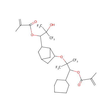 C=C(C)C(=O)OC(C1CC2CC(OC(C(OC(=O)C(=C)C)C3CCCCC3)(C(F)(F)F)C(F)(F)F)C1C2)C(O)(C(F)(F)F)C(F)(F)F